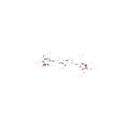 CCCn1c2cc(C#C[C@H]3O[C@H](CO)[C@@H](O)[C@H](O)[C@H]3O)ccc2c2ccc(C#C[C@H]3O[C@H](CO)[C@@H](O)[C@H](O)[C@@H]3O)cc21